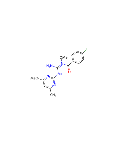 COc1cc(C)nc(NC(N)=[N+](OC)C(=O)c2ccc(F)cc2)n1